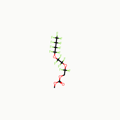 COC(=O)OCC(F)(F)OC(F)(F)C(F)(F)OC(F)(F)C(F)(F)C(F)(F)C(F)(F)F